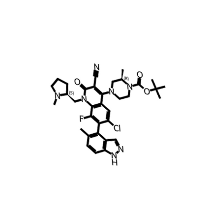 Cc1ccc2[nH]ncc2c1-c1c(Cl)cc2c(N3CCN(C(=O)OC(C)(C)C)[C@H](C)C3)c(C#N)c(=O)n(C[C@@H]3CCCN3C)c2c1F